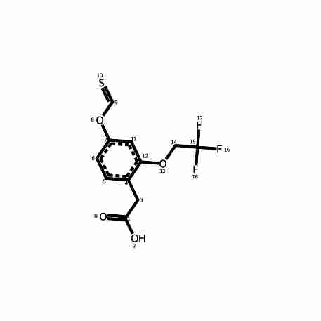 O=C(O)Cc1ccc(OC=S)cc1OCC(F)(F)F